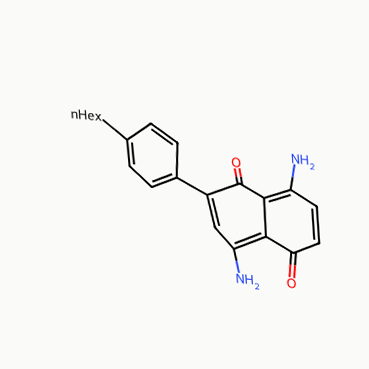 CCCCCCc1ccc(C2=CC(N)=C3C(=O)C=CC(N)=C3C2=O)cc1